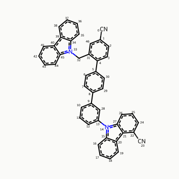 N#Cc1ccc(-c2ccc(-c3cccc(-n4c5ccccc5c5c(C#N)cccc54)c3)cc2)c(Cn2c3ccccc3c3ccccc32)c1